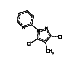 Cc1c(Cl)nn(-c2ccccn2)c1Cl